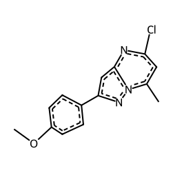 COc1ccc(-c2cc3nc(Cl)cc(C)n3n2)cc1